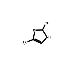 CC1=CNC(O)N1